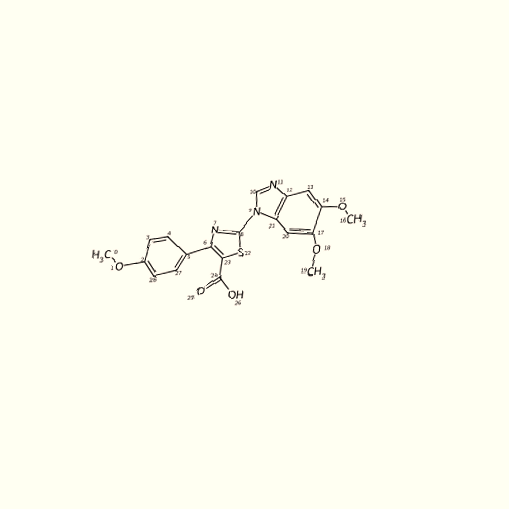 COc1ccc(-c2nc(-n3cnc4cc(OC)c(OC)cc43)sc2C(=O)O)cc1